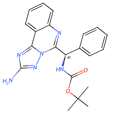 CC(C)(C)OC(=O)N[C@H](c1ccccc1)c1nc2ccccc2c2nc(N)nn12